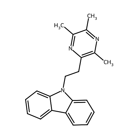 Cc1nc(C)c(CCn2c3ccccc3c3ccccc32)nc1C